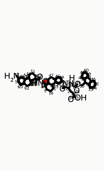 C[C@]1(C(=O)NC(=O)[C@@]2(C)CCC[C@]3(C)c4cc(NC(=O)C(CCC(=O)O)NC(=O)OCC5c6ccccc6-c6ccccc65)ccc4CC[C@@H]23)CCC[C@]2(C)c3cc(N)ccc3CC[C@@H]12